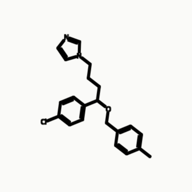 Cc1ccc(COC(CCCn2ccnc2)c2ccc(Cl)cc2)cc1